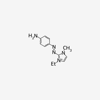 CC[n+]1ccn(C)c1N=Nc1ccc(N)cc1